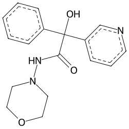 O=C(NN1CCOCC1)C(O)(c1ccccc1)c1cccnc1